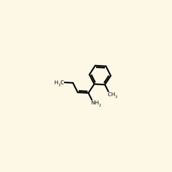 CC/C=C(/N)c1ccccc1C